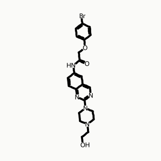 O=C(COc1ccc(Br)cc1)Nc1ccc2nc(N3CCN(CCO)CC3)ncc2c1